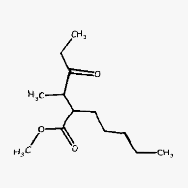 CCCCCC(C(=O)OC)C(C)C(=O)CC